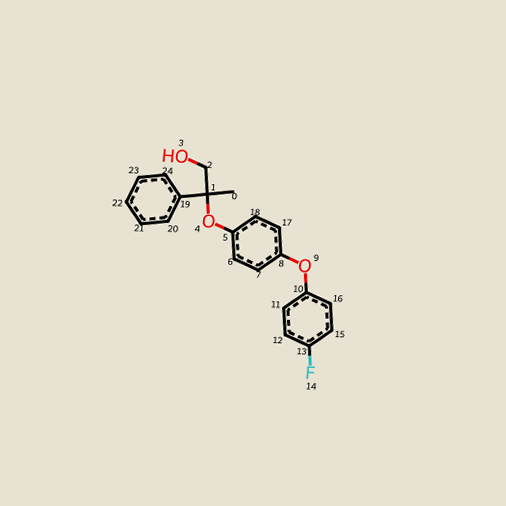 CC(CO)(Oc1ccc(Oc2ccc(F)cc2)cc1)c1ccccc1